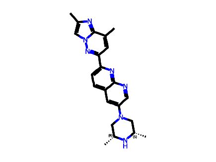 Cc1cn2nc(-c3ccc4cc(N5C[C@@H](C)N[C@@H](C)C5)cnc4n3)cc(C)c2n1